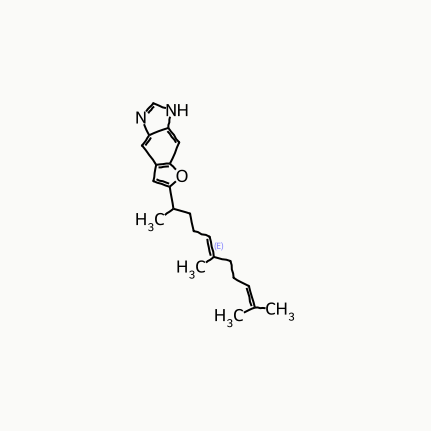 CC(C)=CCC/C(C)=C/CCC(C)c1cc2cc3nc[nH]c3cc2o1